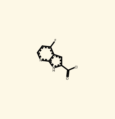 O=C(Cl)c1cc2c(F)ccnc2[nH]1